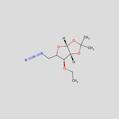 CCO[C@H]1C(CN=[N+]=[N-])O[C@@H]2OC(C)(C)O[C@@H]21